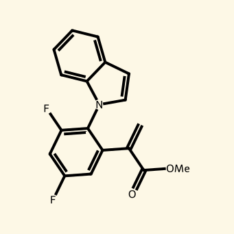 C=C(C(=O)OC)c1cc(F)cc(F)c1-n1ccc2ccccc21